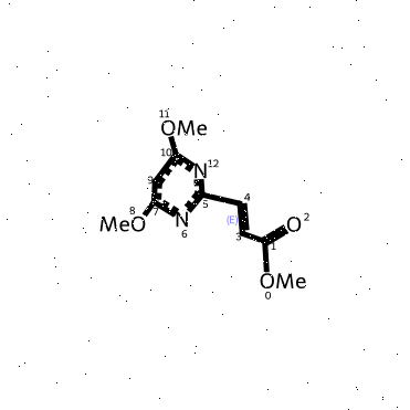 COC(=O)/C=C/c1nc(OC)cc(OC)n1